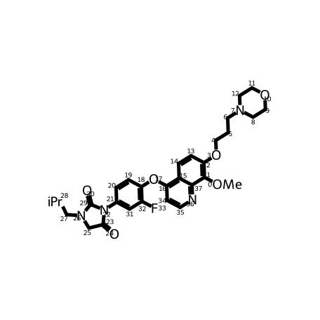 COc1c(OCCCN2CCOCC2)ccc2c(Oc3ccc(N4C(=O)CN(CC(C)C)C4=O)cc3F)ccnc12